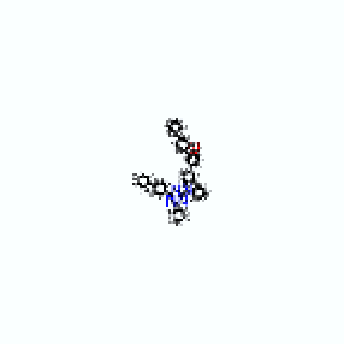 c1ccc(-c2ccc(-c3nc(-c4ccccc4)nc(-n4c5ccccc5c5cc(-c6ccc7oc8cc(-c9ccccc9)ccc8c7c6)ccc54)n3)cc2)cc1